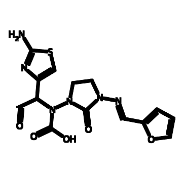 Nc1nc(C([C]=O)N(C(=O)O)N2CCN(N=Cc3ccco3)C2=O)cs1